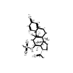 CC(=O)[C@H]1CC[C@H]2[C@@H]3CCC4=CC(=O)C=C[C@]4(C)[C@H]3CC(OS(C)(=O)=O)[C@]12C